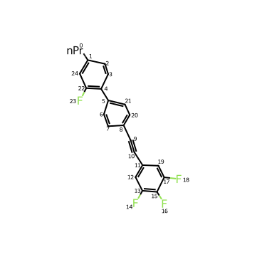 CCCc1ccc(-c2ccc(C#Cc3cc(F)c(F)c(F)c3)cc2)c(F)c1